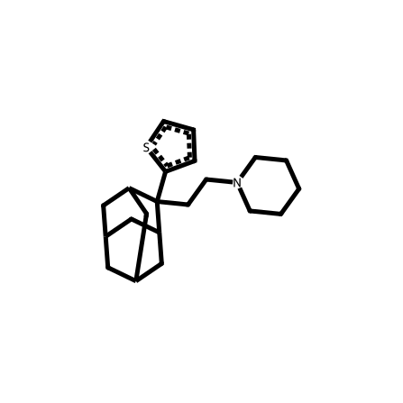 c1csc(C2(CCN3CCCCC3)C3CC4CC(C3)CC2C4)c1